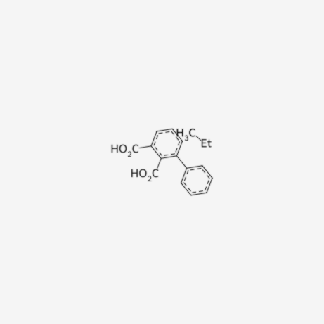 CCC.O=C(O)c1cccc(-c2ccccc2)c1C(=O)O